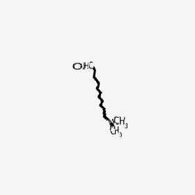 CN(C)CCCCCCCCCCC=O